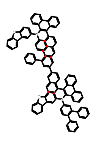 c1ccc(-c2ccc(N(c3ccc4oc5ccccc5c4c3)c3c(-c4cccc5cc(-c6ccc(-c7ccc(N(c8ccc9oc%10ccccc%10c9c8)c8c(-c9ccc%10ccccc%10c9)c9ccccc9c9ccccc89)cc7)c(-c7ccccc7)c6)ccc45)c4ccccc4c4ccccc34)cc2-c2ccccc2)cc1